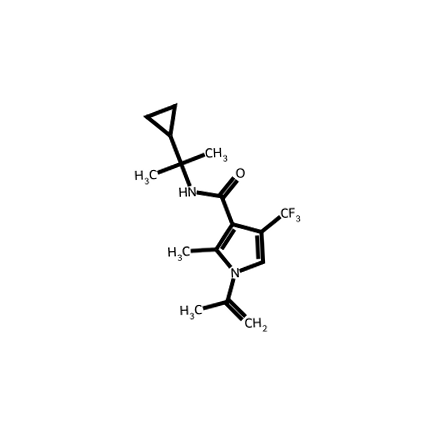 C=C(C)n1cc(C(F)(F)F)c(C(=O)NC(C)(C)C2CC2)c1C